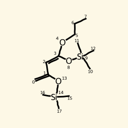 C=C(/C=C(/OCCC)O[Si](C)(C)C)O[Si](C)(C)C